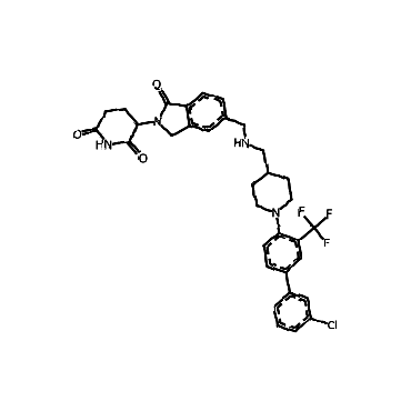 O=C1CCC(N2Cc3cc(CNCC4CCN(c5ccc(-c6cccc(Cl)c6)cc5C(F)(F)F)CC4)ccc3C2=O)C(=O)N1